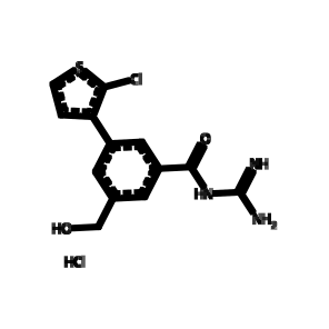 Cl.N=C(N)NC(=O)c1cc(CO)cc(-c2ccsc2Cl)c1